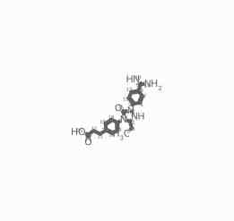 CCC1NN(c2ccc(C(=N)N)cc2)C(=O)N1c1ccc(CCC(=O)O)cc1